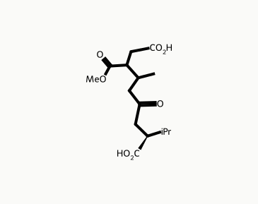 COC(=O)C(CC(=O)O)C(C)CC(=O)C[C@H](C(=O)O)C(C)C